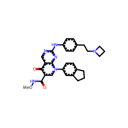 CONC(=O)c1cn(-c2ccc3c(c2)CCC3)c2nc(Nc3ccc(CCN4CCC4)cc3)ncc2c1=O